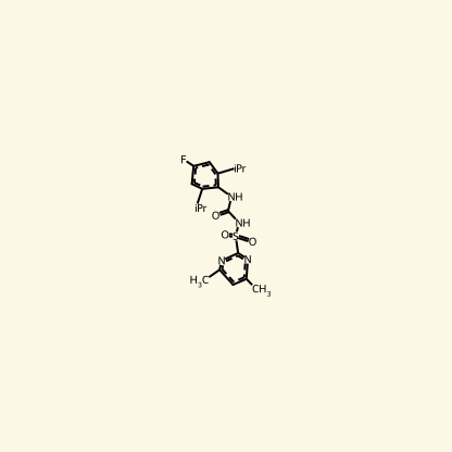 Cc1cc(C)nc(S(=O)(=O)NC(=O)Nc2c(C(C)C)cc(F)cc2C(C)C)n1